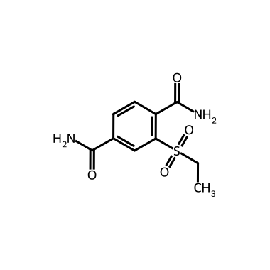 CCS(=O)(=O)c1cc(C(N)=O)ccc1C(N)=O